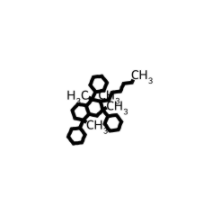 CCCCCCC1(C)C(C)(C2CCCCC2)CC2C(CCCC2(C)C2CCCCC2)C1(C)C1CCCCC1